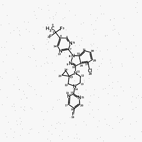 CC(F)(F)c1cnc(-n2nc(N3CCN(c4ncc(F)cn4)CC34CC4)c3c(Cl)cccc32)nc1